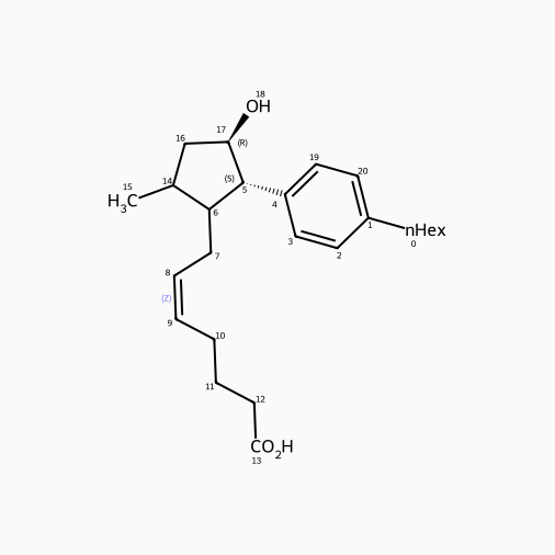 CCCCCCc1ccc([C@@H]2C(C/C=C\CCCC(=O)O)C(C)C[C@H]2O)cc1